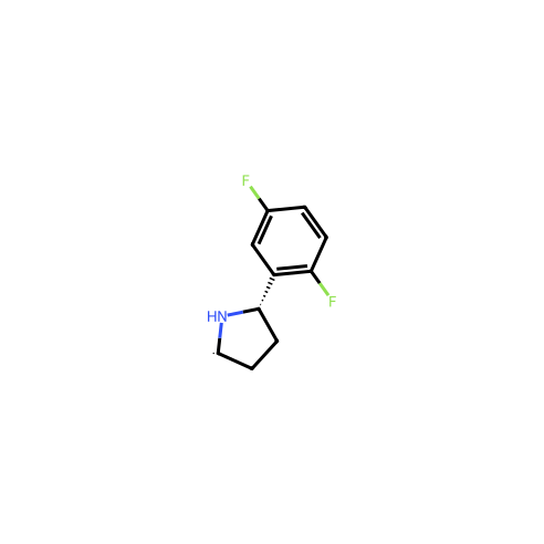 Fc1ccc(F)c([C@@H]2CC[CH]N2)c1